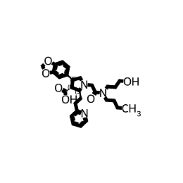 CCCCN(CCCO)C(=O)CN1C[C@H](c2ccc3c(c2)OCO3)[C@@H](C(=O)O)[C@@H]1CCc1ccccn1